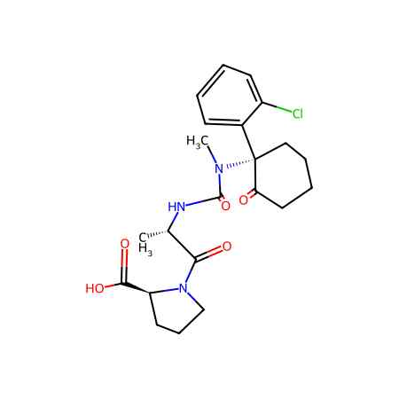 C[C@H](NC(=O)N(C)[C@]1(c2ccccc2Cl)CCCCC1=O)C(=O)N1CCC[C@H]1C(=O)O